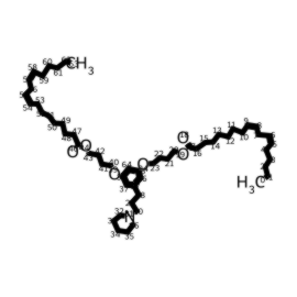 CCCCC/C=C\C/C=C\CCCCCCCC(=O)OCCCCOc1cc(CCCN2CCCCC2)cc(OCCCCOC(=O)CCCCCCC/C=C\C/C=C\CCCCC)c1